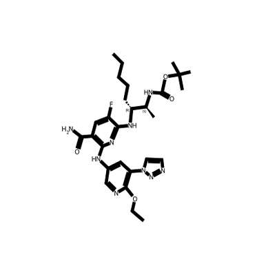 CCCCC[C@@H](Nc1nc(Nc2cnc(OCC)c(-n3ccnn3)c2)c(C(N)=O)cc1F)[C@H](C)NC(=O)OC(C)(C)C